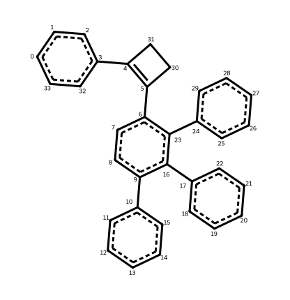 c1ccc(C2=C(c3ccc(-c4ccccc4)c(-c4ccccc4)c3-c3ccccc3)CC2)cc1